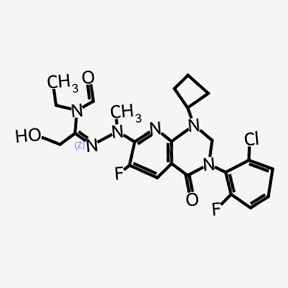 CCN(C=O)/C(CO)=N\N(C)c1nc2c(cc1F)C(=O)N(c1c(F)cccc1Cl)CN2C1CCC1